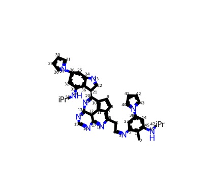 Cc1c(/N=C\CC2=C3C=CC4=C3C3C(=NC=NC3=N2)N=C4[C@@H]2C=Nc3cc(-n4cccc4)cc(NC(C)C)c32)cc(-n2cccc2)cc1NC(C)C